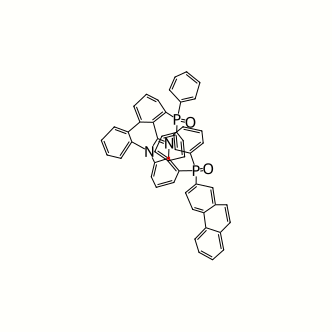 O=P(c1ccccc1)(c1ccc2c(ccc3ccccc32)c1)c1cccc2c1nc1c3c(P(=O)(c4ccccc4)c4ccccc4)cccc3c3ccccc3n21